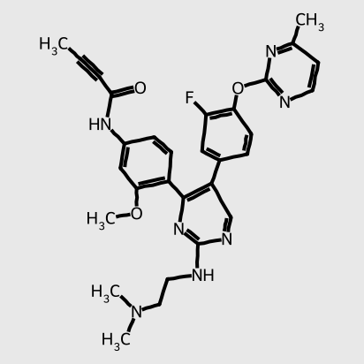 CC#CC(=O)Nc1ccc(-c2nc(NCCN(C)C)ncc2-c2ccc(Oc3nccc(C)n3)c(F)c2)c(OC)c1